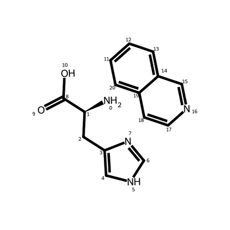 N[C@@H](Cc1c[nH]cn1)C(=O)O.c1ccc2cnccc2c1